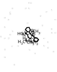 CC(C)C[C@@H](C(=O)NN)[C@@H](C(=O)NO)C(/C=C/c1ccccc1)(C1CCCCC1)S(C)(=O)=O